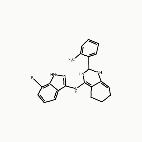 Fc1cccc2c(NC3=C4CCCC=C4NC(c4ccccc4C(F)(F)F)N3)n[nH]c12